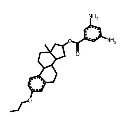 CCCOc1ccc2c(c1)CCC1C2CCC2(C)CC(OC(=O)c3cc(N)cc(N)c3)CC12